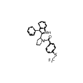 O=C(c1ccc(SC(F)(F)F)cc1)N1CCCC1c1[nH]c2ccccc2c1-c1ccccc1